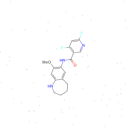 COc1cc2c(cc1NC(=O)c1cnc(F)cc1F)CCCCN2